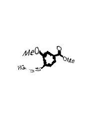 COC(=O)c1ccc(S(=O)(=O)O)c(OC)c1